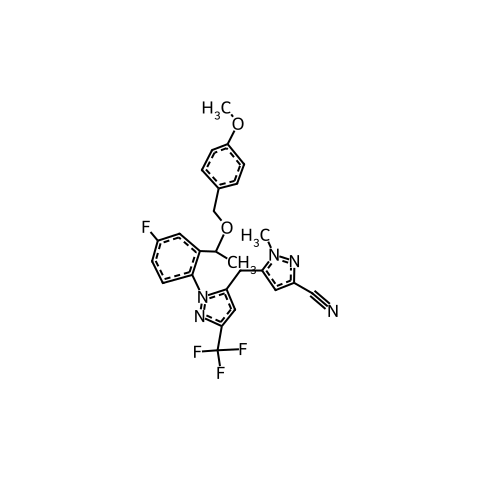 COc1ccc(COC(C)c2cc(F)ccc2-n2nc(C(F)(F)F)cc2Cc2cc(C#N)nn2C)cc1